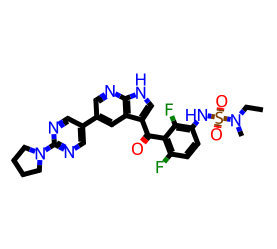 CCN(C)S(=O)(=O)Nc1ccc(F)c(C(=O)c2c[nH]c3ncc(-c4cnc(N5CCCC5)nc4)cc23)c1F